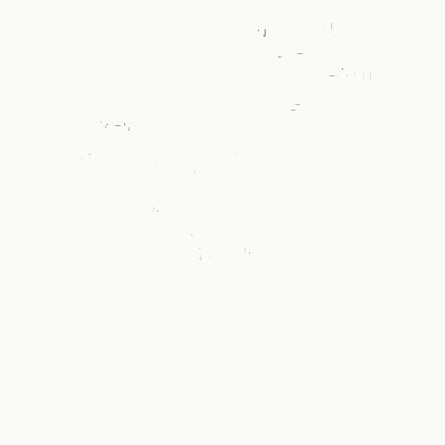 Cc1cc(OCCCc2c(C(=O)OC(C)(C)C)n(CCCOCCc3cc(C(=O)O)c(C(=O)O)c([N+](=O)[O-])c3)c3c(-c4c(C)nn(C)c4C)cccc23)cc(C)c1Cl